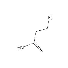 CCCCC([NH])=S